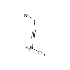 C[SiH2]C#CCBr